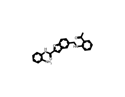 CC(=O)c1ccccc1NCc1ccc2oc(C(=O)Nc3ccccc3N)cc2c1